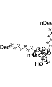 CCCCCCCCCCCCCCCCCC(=O)O[Si](CCCCCC)(OCC)OC(=O)CCCCCCCCCCCCCCCCC.OC=S